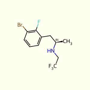 C[C@H](Cc1cccc(Br)c1F)NCC(F)(F)F